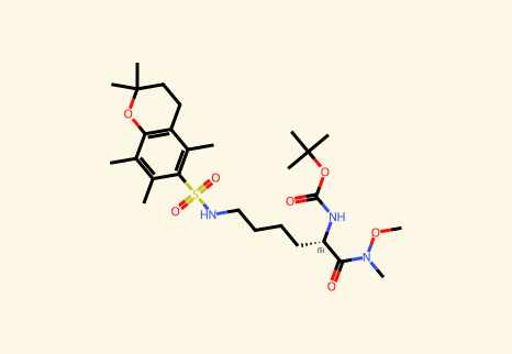 CON(C)C(=O)[C@H](CCCCNS(=O)(=O)c1c(C)c(C)c2c(c1C)CCC(C)(C)O2)NC(=O)OC(C)(C)C